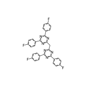 Fc1ccc(-c2nc(Cc3nc(-c4ccc(F)cc4)nc(-c4ccc(F)cc4)n3)nc(-c3ccc(F)cc3)n2)cc1